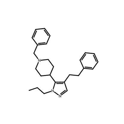 CCCn1ncc(CCc2ccccc2)c1C1CCN(Cc2ccccc2)CC1